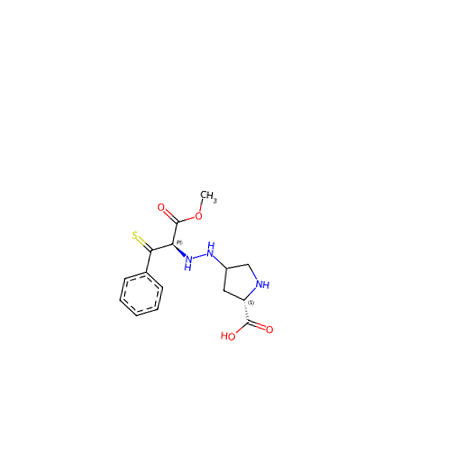 COC(=O)[C@@H](NNC1CN[C@H](C(=O)O)C1)C(=S)c1ccccc1